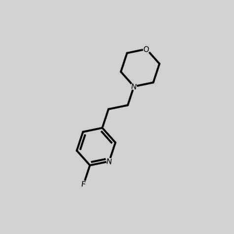 Fc1ccc(CCN2CCOCC2)cn1